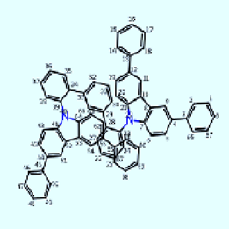 c1ccc(-c2ccc3c(c2)c2cc(-c4ccccc4)ccc2n3-c2ccccc2-c2cccc(-c3ccccc3-n3c4ccc(-c5ccccc5)cc4c4cc(-c5ccccc5)ccc43)c2)cc1